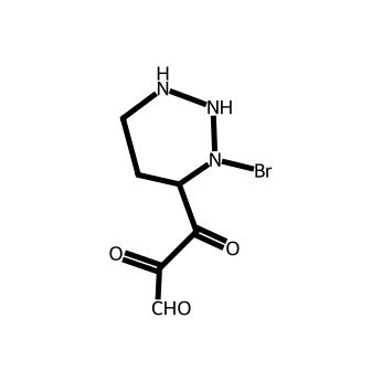 O=CC(=O)C(=O)C1CCNNN1Br